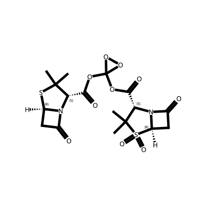 CC1(C)S[C@@H]2CC(=O)N2[C@H]1C(=O)OC1(OC(=O)[C@@H]2N3C(=O)C[C@H]3S(=O)(=O)C2(C)C)OO1